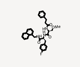 COC[C@H](NC(=O)CCc1ccccc1)C(=O)N[C@@H](Cc1ccc(F)cc1)C(=O)NCc1cccc2ccccc12